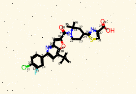 CC(C)(C)c1cc(-c2ccc(Cl)c(F)c2)nc2cc(C(=O)N3CCC(c4nc(C(=O)O)cs4)CC3(C)C)oc12